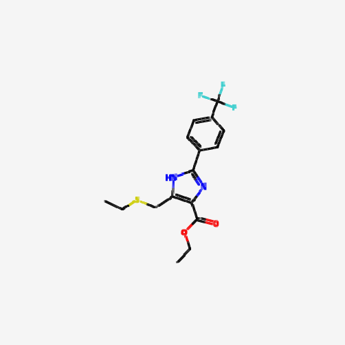 CCOC(=O)c1nc(-c2ccc(C(F)(F)F)cc2)[nH]c1CSCC